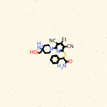 CCc1c(C#N)c(SC(C(N)=O)c2ccccc2)nc(N2CCC(N)(CO)CC2)c1C#N